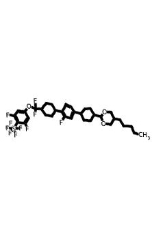 CCCCCC1COC(C2CCC(c3ccc(C4CCC(C(F)(F)Oc5cc(F)c(S(F)(F)(F)(F)F)c(F)c5)CC4)c(F)c3)CC2)OC1